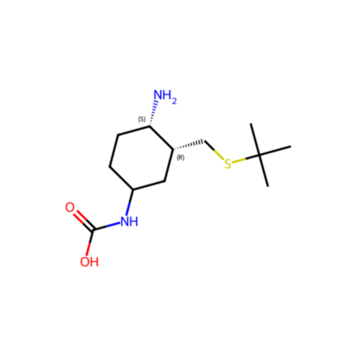 CC(C)(C)SC[C@@H]1CC(NC(=O)O)CC[C@@H]1N